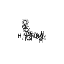 CN1[C@@H]2CC[C@@H]1CC(N1CCC(n3cc(-c4ccc(Oc5ccccc5)cc4)c4c(N)ncnc43)CC1)C2